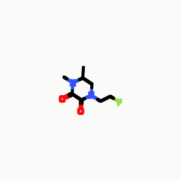 CC1CN(CCF)C(=O)C(=O)N1C